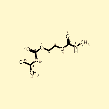 CNC(=O)OCCOC(=O)OC(C)Cl